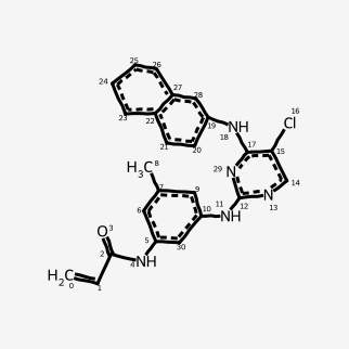 C=CC(=O)Nc1cc(C)cc(Nc2ncc(Cl)c(Nc3ccc4ccccc4c3)n2)c1